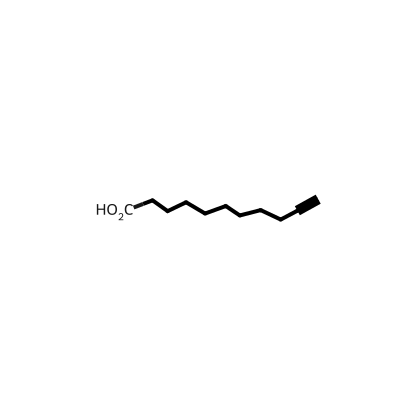 C#CCCCCCCCCC(=O)O